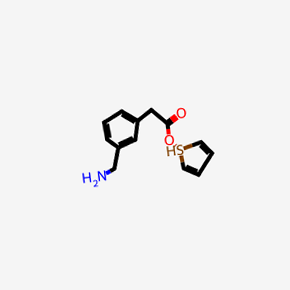 NCc1cccc(CC(=O)O[SH]2C=CC=C2)c1